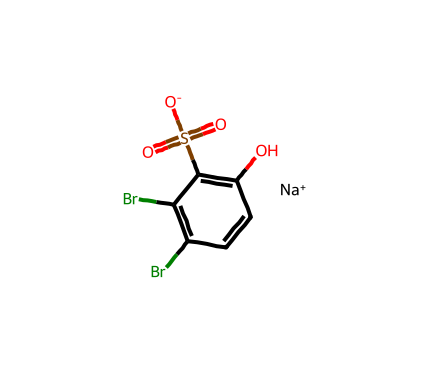 O=S(=O)([O-])c1c(O)ccc(Br)c1Br.[Na+]